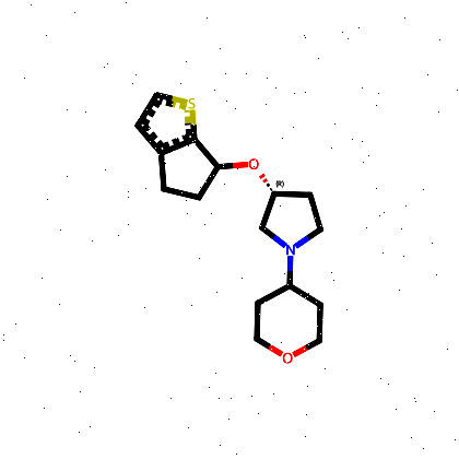 c1cc2c(s1)C(O[C@@H]1CCN(C3CCOCC3)C1)CC2